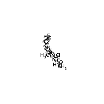 CNC(=O)c1cnc(N2CCN(C3CCN(Cc4ccc(C(F)(F)F)cc4)CC3)[C@@H](C)C2)c(Cl)c1